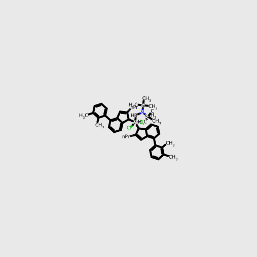 CCCC1=Cc2c(-c3cccc(C)c3C)cccc2[CH]1[Zr]([Cl])([Cl])([BH]N([Si](C)(C)C)[Si](C)(C)C)[CH]1C(CCC)=Cc2c(-c3cccc(C)c3C)cccc21